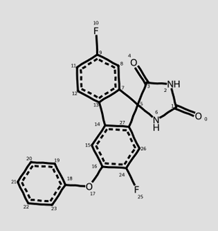 O=C1NC(=O)C2(N1)c1cc(F)ccc1-c1cc(Oc3ccccc3)c(F)cc12